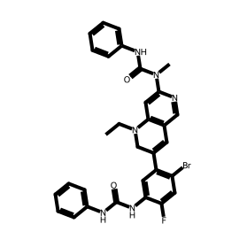 CCN1CC(c2cc(NC(=O)Nc3ccccc3)c(F)cc2Br)=Cc2cnc(N(C)C(=O)Nc3ccccc3)cc21